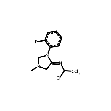 CN1CC(=NC(Cl)C(Cl)(Cl)Cl)N(c2ccccc2F)C1